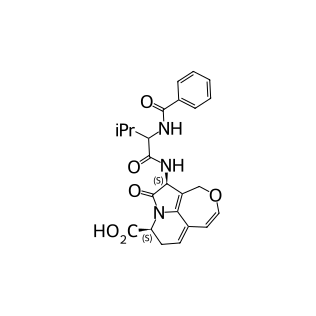 CC(C)C(NC(=O)c1ccccc1)C(=O)N[C@@H]1C(=O)N2C3=C1COC=CC3=CC[C@H]2C(=O)O